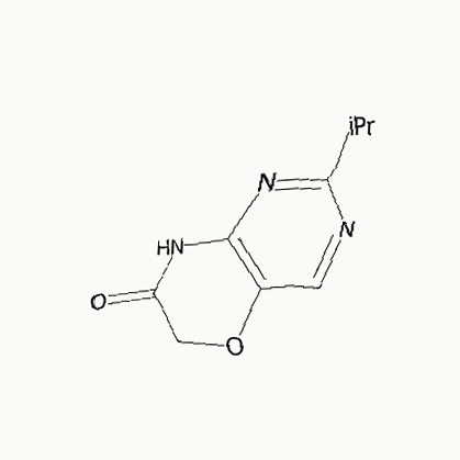 CC(C)c1ncc2c(n1)NC(=O)CO2